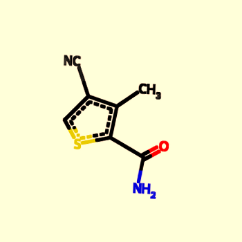 Cc1c(C#N)csc1C(N)=O